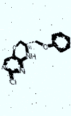 Clc1ncc2c(n1)N[C@@H](COc1ccccc1)CO2